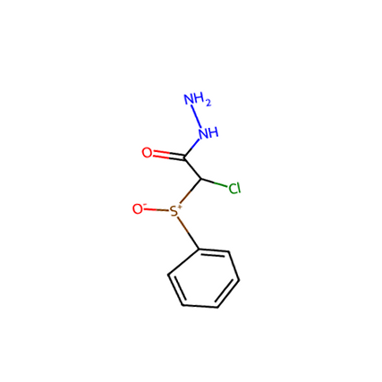 NNC(=O)C(Cl)[S+]([O-])c1ccccc1